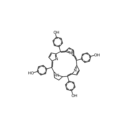 Oc1ccc(C2=C3C=CC(=N3)C(c3ccc(O)cc3)=c3ccc([nH]3)=C(c3ccc(O)cc3)C3=NC(=C(c4ccc(O)cc4)C4CCC2N4)C=C3)cc1